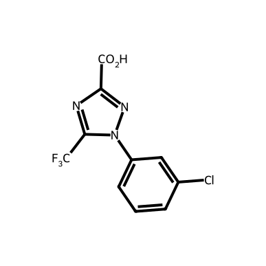 O=C(O)c1nc(C(F)(F)F)n(-c2cccc(Cl)c2)n1